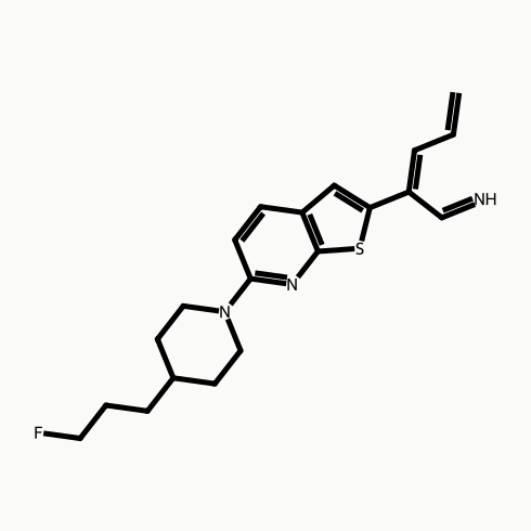 C=C/C=C(\C=N)c1cc2ccc(N3CCC(CCCF)CC3)nc2s1